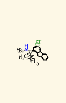 C[SiH](C)[Ti+2]([NH]C(C)(C)C)[c]1cccc2c1Cc1ccccc1-2.[Cl-].[Cl-]